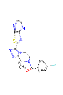 C[C@@H]1c2nnc(-c3nc4nccnc4s3)n2CCN1C(=O)c1ccc(F)cc1